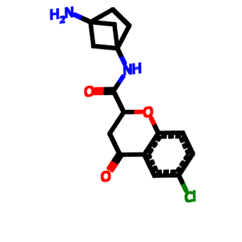 NC12CCC(NC(=O)C3CC(=O)c4cc(Cl)ccc4O3)(C1)C2